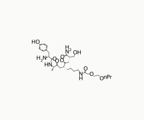 CCCOCCOCC(=O)NCCCC[C@H](CC(=O)[C@@H](C)NC(=O)[C@@H](N)Cc1ccc(O)cc1)C(=O)C[C@@H](CO)C(N)=O